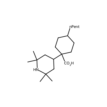 CCCCCC1CCC(C(=O)O)(C2CC(C)(C)NC(C)(C)C2)CC1